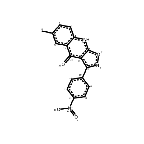 Cc1ccc2[nH]c3onc(-c4ccc([N+](=O)[O-])cc4)c3c(=O)c2c1